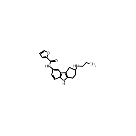 CCCNC1CCc2[nH]c3ccc(NC(=O)c4ccco4)cc3c2C1